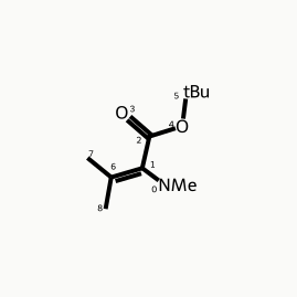 CNC(C(=O)OC(C)(C)C)=C(C)C